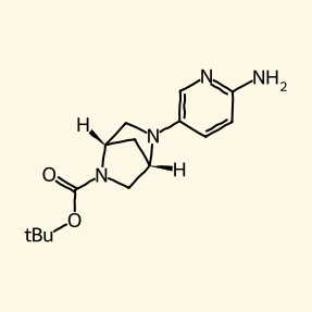 CC(C)(C)OC(=O)N1C[C@@H]2C[C@H]1CN2c1ccc(N)nc1